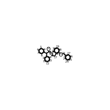 O=C(C(c1ccccc1)c1ccccc1)N1CCc2c(OCc3ccccc3)cccc21